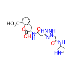 O=C(CN1N=C(CC(=O)N[C@H]2Cc3cccc(C(=O)O)c3OB2O)NN1)N[C@H]1CCNC1